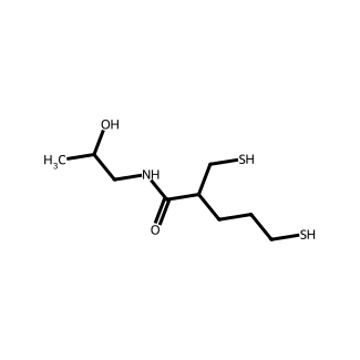 CC(O)CNC(=O)C(CS)CCCS